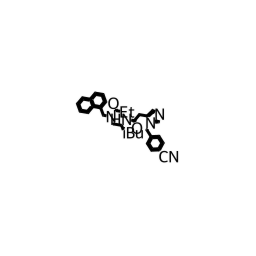 CCC(=O)N(Cc1cccc2ccccc12)CC(NC(=O)Cc1cncn1Cc1ccc(C#N)cc1)C(C)CC